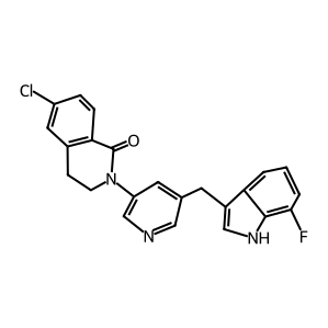 O=C1c2ccc(Cl)cc2CCN1c1cncc(Cc2c[nH]c3c(F)cccc23)c1